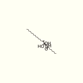 CCCCCCCCCCCCCC1=C([C@](O)(CO)CNC(=O)CCCCCCC)C1